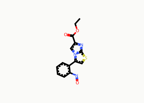 CCOC(=O)c1cn2c(-c3ccccc3N=O)csc2n1